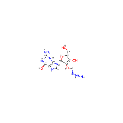 [N-]=[N+]=NCO[C@@H]1[C@H](O)[C@@H](CO)O[C@H]1n1cnc2c(=O)[nH]c(N)nc21